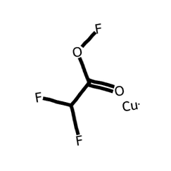 O=C(OF)C(F)F.[Cu]